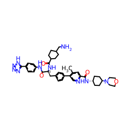 Cc1cc(C(=O)N[C@H]2CC[C@H](N3CCOCC3)CC2)ncc1-c1ccc(C[C@H](NC(=O)C2CCC(CN)CC2)C(=O)Nc2ccc(-c3nnn[nH]3)cc2)cc1